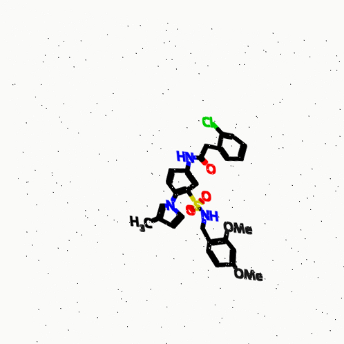 COc1ccc(CNS(=O)(=O)c2cc(NC(=O)Cc3ccccc3Cl)ccc2-n2ccc(C)c2)c(OC)c1